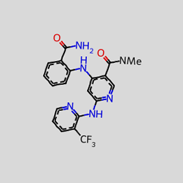 CNC(=O)c1cnc(Nc2ncccc2C(F)(F)F)cc1Nc1ccccc1C(N)=O